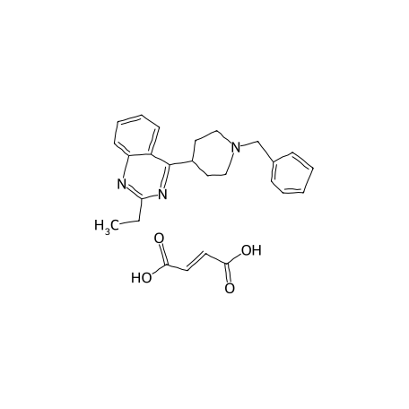 CCc1nc(C2CCN(Cc3ccccc3)CC2)c2ccccc2n1.O=C(O)C=CC(=O)O